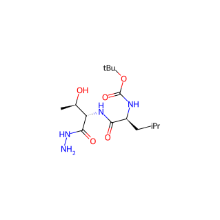 CC(C)C[C@H](NC(=O)OC(C)(C)C)C(=O)N[C@H](C(=O)NN)[C@@H](C)O